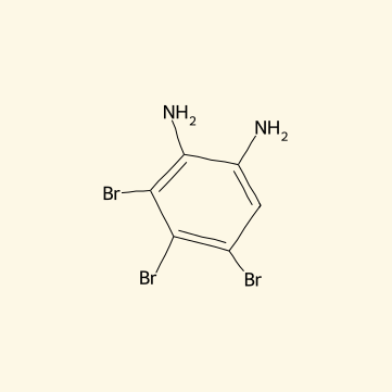 Nc1cc(Br)c(Br)c(Br)c1N